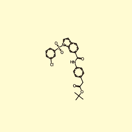 CC(C)(C)OC(=O)Cc1ccc(NC(=O)c2ccc3ccn(S(=O)(=O)c4cccc(Cl)c4)c3c2)cc1